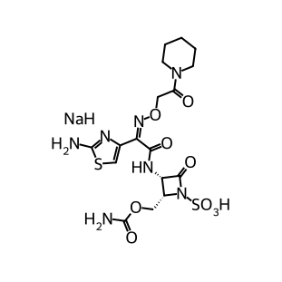 NC(=O)OC[C@@H]1[C@H](NC(=O)/C(=N\OCC(=O)N2CCCCC2)c2csc(N)n2)C(=O)N1S(=O)(=O)O.[NaH]